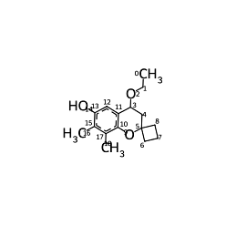 CCOC1CC2(CCC2)Oc2c1cc(O)c(C)c2C